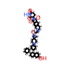 O=C1CC[C@@H](N2C(=O)c3cc4c(cc3C2=O)CN(CC(=O)N2CC3(CCN(c5ccc([C@@H]6c7ccc(O)cc7CC[C@@H]6c6ccccc6)cc5)CC3)C2)CC4)C(=O)N1